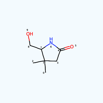 CC1(C)CC(=O)NC1CO